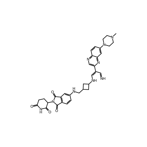 CN1CCN(c2ccc3ncc(/C(C=N)=C/NC4CC(CNc5ccc6c(c5)C(=O)N(C5CCC(=O)NC5=O)C6=O)C4)nc3c2)CC1